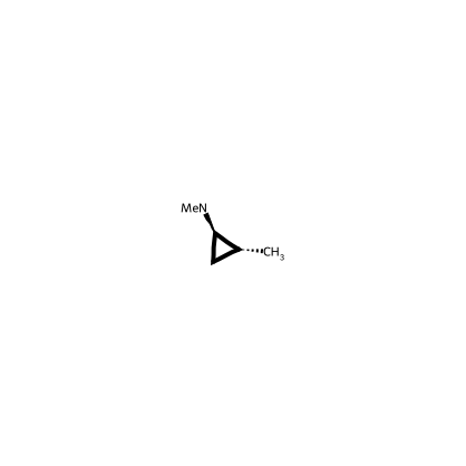 CN[C@@H]1C[C@H]1C